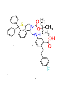 CC(C)(C)OC(=O)N1C[C@@H](SC(c2ccccc2)(c2ccccc2)c2ccccc2)C[C@H]1CNc1ccc(CCc2ccc(F)cc2)c(C(=O)O)c1